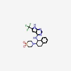 O=S1(=O)CCN(C2CCc3ccccc3C2Nc2ncnc3[nH]c(C(F)(F)F)cc23)CC1